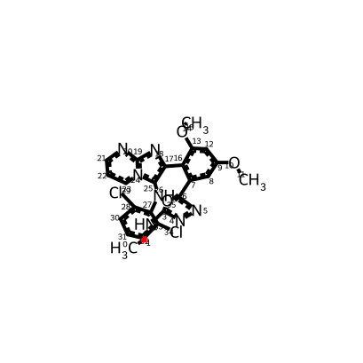 CCNc1nnc(-c2cc(OC)cc(OC)c2-c2nc3ncccn3c2Nc2c(Cl)cccc2Cl)o1